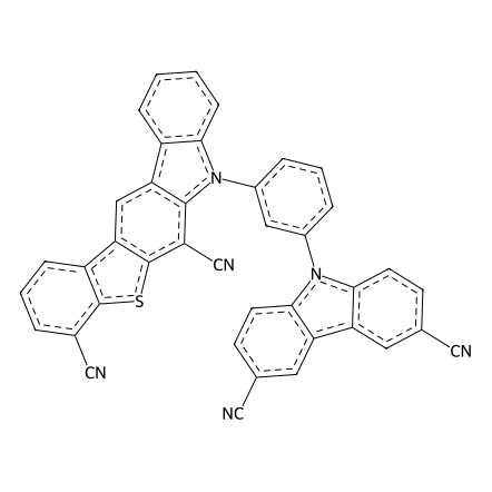 N#Cc1ccc2c(c1)c1cc(C#N)ccc1n2-c1cccc(-n2c3ccccc3c3cc4c(sc5c(C#N)cccc54)c(C#N)c32)c1